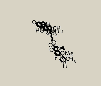 COc1c(N2CCNC(C)C2)c(F)cc2c(=O)c(C(=O)OCCC[CH]C(=O)[C@]3(O)[C@H](C)C[C@@H]4[C@H]5CCC6=CC(=O)C=C[C@@]6(C)[C@]5(F)[C@H](O)C[C@]43C)cn(C3CC3)c12